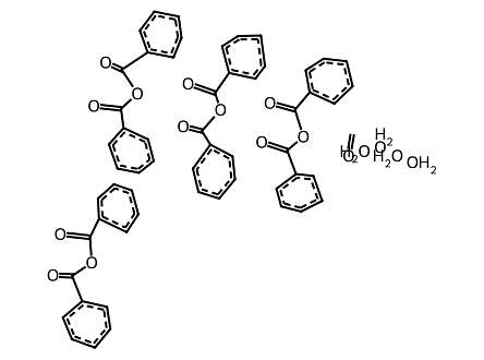 C=O.O.O.O.O.O=C(OC(=O)c1ccccc1)c1ccccc1.O=C(OC(=O)c1ccccc1)c1ccccc1.O=C(OC(=O)c1ccccc1)c1ccccc1.O=C(OC(=O)c1ccccc1)c1ccccc1